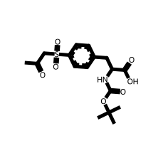 CC(=O)CS(=O)(=O)c1ccc(CC(NC(=O)OC(C)(C)C)C(=O)O)cc1